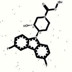 CC(C)(C)OC(=O)N1CC[C@@H](n2c3ccc(F)cc3c3cc(F)ccc32)[C@H](O)C1